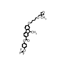 CC1c2cc(OCCCCOCC3(C)COC3)ccc2-c2ccc(C(=O)Oc3ccc(OC(F)(F)F)cc3)cc21